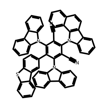 N#Cc1c(-n2c3ccccc3c3ccccc32)c(-c2ccc3sc4ccccc4c3c2)c(-n2c3ccccc3c3ccccc32)c(C#N)c1-n1c2ccccc2c2ccc3ccccc3c21